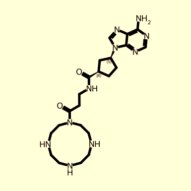 Nc1ncnc2c1ncn2[C@H]1CC[C@@H](C(=O)NCCC(=O)N2CCNCCNCCNCC2)C1